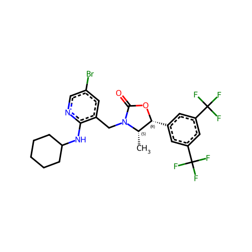 C[C@H]1[C@@H](c2cc(C(F)(F)F)cc(C(F)(F)F)c2)OC(=O)N1Cc1cc(Br)cnc1NC1CCCCC1